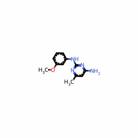 COc1cccc(Nc2nc(C)cc(N)n2)c1